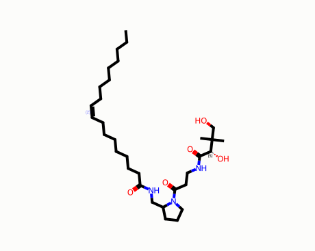 CCCCCCCC/C=C\CCCCCCCC(=O)NCC1CCCN1C(=O)CCNC(=O)[C@@H](O)C(C)(C)CO